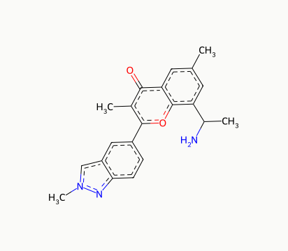 Cc1cc(C(C)N)c2oc(-c3ccc4nn(C)cc4c3)c(C)c(=O)c2c1